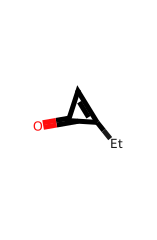 CCc1cc1=O